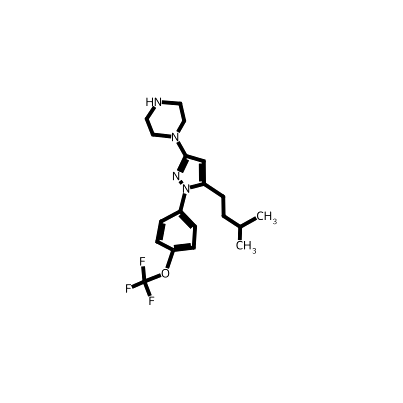 CC(C)CCc1cc(N2CCNCC2)nn1-c1ccc(OC(F)(F)F)cc1